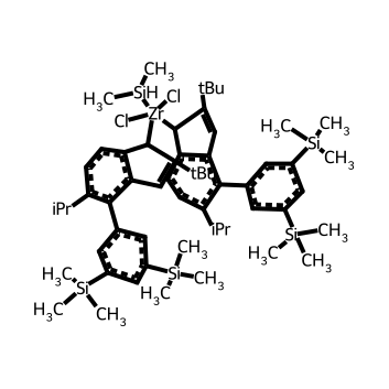 CC(C)c1ccc2c(c1-c1cc([Si](C)(C)C)cc([Si](C)(C)C)c1)C=C(C(C)(C)C)[CH]2[Zr]([Cl])([Cl])([CH]1C(C(C)(C)C)=Cc2c1ccc(C(C)C)c2-c1cc([Si](C)(C)C)cc([Si](C)(C)C)c1)[SiH](C)C